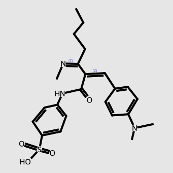 CCCCC(=N/C)/C(=C/c1ccc(N(C)C)cc1)C(=O)Nc1ccc(S(=O)(=O)O)cc1